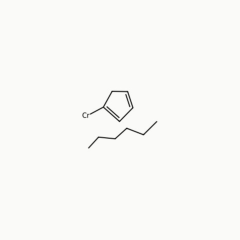 CCCCCC.[Cr][C]1=CC=CC1